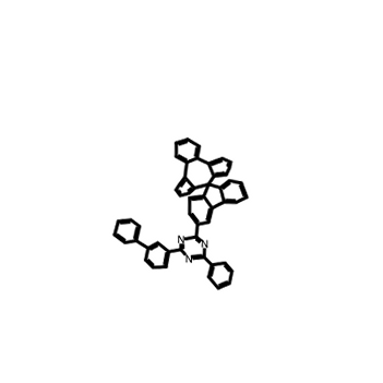 c1ccc(-c2cccc(-c3nc(-c4ccccc4)nc(-c4ccc5c(c4)-c4ccccc4C54c5ccccc5-c5ccccc5-c5ccccc54)n3)c2)cc1